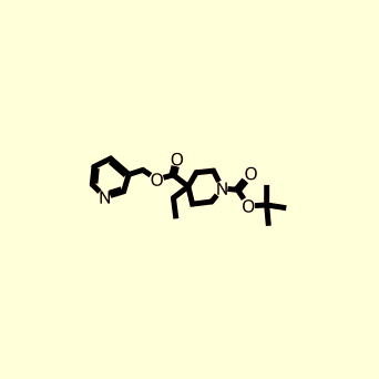 CCC1(C(=O)OCc2cccnc2)CCN(C(=O)OC(C)(C)C)CC1